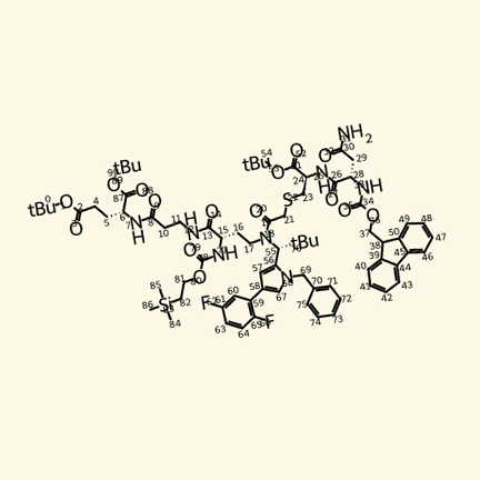 CC(C)(C)OC(=O)CC[C@@H](NC(=O)CCNC(=O)[C@H](CCN(C(=O)CSC[C@H](NC(=O)[C@H](CC(N)=O)NC(=O)OCC1c2ccccc2-c2ccccc21)C(=O)OC(C)(C)C)[C@@H](c1cc(-c2cc(F)ccc2F)cn1Cc1ccccc1)C(C)(C)C)NC(=O)OCC[Si](C)(C)C)C(=O)OC(C)(C)C